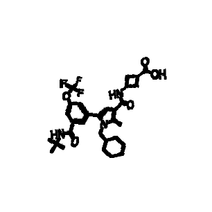 Cc1c(C(=O)N[C@H]2C[C@H](C(=O)O)C2)cc(-c2cc(OC(F)(F)F)cc(C(=O)NC(C)(C)C)c2)n1CC1CCCCC1